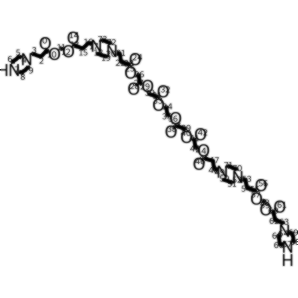 O=C(CCN1CCNCC1)OCOC(=O)CCN1CCN(CCC(=O)OCC(=O)OCC(=O)OCCOC(=O)COC(=O)COC(=O)CCN2CCN(CCC(=O)OCOC(=O)CCN3CCNCC3)CC2)CC1